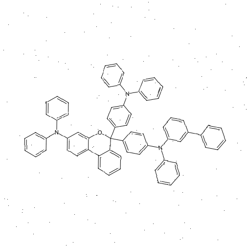 c1ccc(-c2cccc(N(c3ccccc3)c3ccc(C4(c5ccc(N(c6ccccc6)c6ccccc6)cc5)Oc5cc(N(c6ccccc6)c6ccccc6)ccc5-c5ccccc54)cc3)c2)cc1